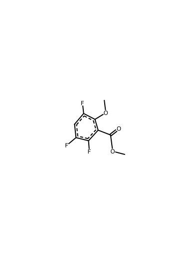 COC(=O)c1c(F)c(F)cc(F)c1OC